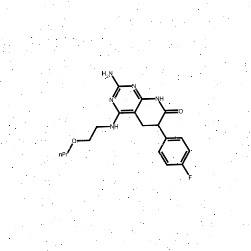 CCCOCCNc1nc(N)nc2c1CC(c1ccc(F)cc1)C(=O)N2